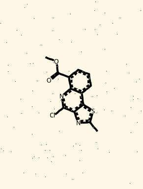 COC(=O)c1cccc2c1nc(Cl)c1nc(C)sc12